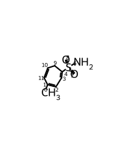 CC1=CC=C(S(N)(=O)=O)CC=C1